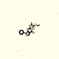 CCOC(=O)C(C)Sc1nc2c(cnn2-c2ccccc2)c(=O)[nH]1